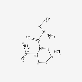 CC(C)C[C@H](N)C(=O)N1CCCCC1C(N)=O.Cl